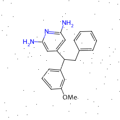 COc1cccc(C(Cc2ccccc2)c2cc(N)nc(N)c2)c1